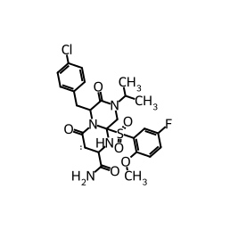 COc1ccc(F)cc1S(=O)(=O)C12CN(C(C)C)C(=O)C(Cc3ccc(Cl)cc3)N1C(=O)[C]C(C(N)=O)N2